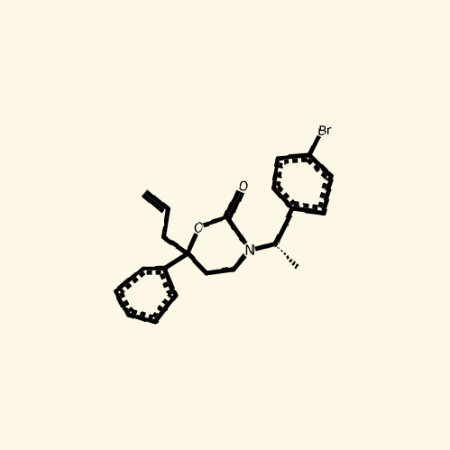 C=CCC1(c2ccccc2)CCN([C@@H](C)c2ccc(Br)cc2)C(=O)O1